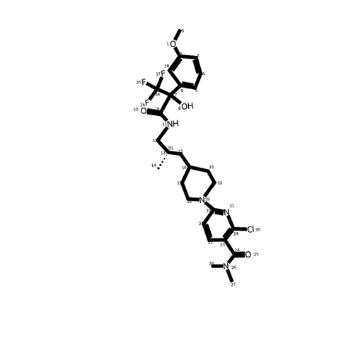 COc1cccc(C(O)(C(=O)NC[C@@H](C)CC2CCN(c3ccc(C(=O)N(C)C)c(Cl)n3)CC2)C(F)(F)F)c1